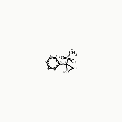 CS(=O)(=O)C1(c2ccccc2)CO1